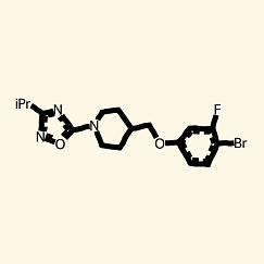 CC(C)c1noc(N2CCC(COc3ccc(Br)c(F)c3)CC2)n1